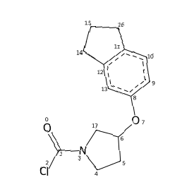 O=C(Cl)N1CCC(Oc2ccc3c(c2)CCC3)C1